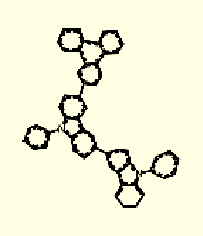 C1=c2c(n(-c3ccccc3)c3ccc(-c4ccc5c(c4)c4cc(-c6ccc7c8ccccc8c8ccccc8c7c6)ccc4n5-c4ccccc4)cc23)=CCC1